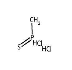 CP=S.Cl.Cl